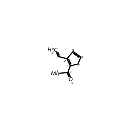 C=CC1=C([C](=O)[Mn])CC=C1